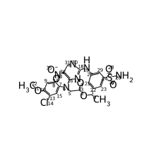 CCOC(=O)CN(c1ccc(OC)c(Cl)c1)c1nc(Nc2cccc(S(N)(=O)=O)c2)ncc1[N+](=O)[O-]